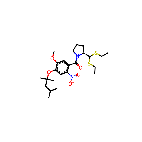 CCSC(SCC)[C@@H]1CCCN1C(=O)c1cc(OC)c(OC(C)(C)CC(C)C)cc1[N+](=O)[O-]